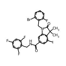 CC1(C)C(=O)N(Cc2c(F)cccc2Br)c2cc(C(=O)NCc3c(F)cc(F)cc3F)cc(I)c21